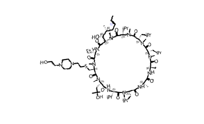 C/C=C/C[C@@H](C)[C@@H](O)[C@H]1C(=O)N[C@@H](CC)C(=O)N(C)[C@H](CSCCN2CCN(CCO)CC2)C(=O)N(C)[C@@H](CC(C)(C)O)C(=O)N[C@@H](C(C)C)C(=O)N(C)[C@@H](CC(C)C)C(=O)N[C@@H](C)C(=O)N[C@H](C)C(=O)N(C)[C@@H](CC(C)C)C(=O)N(C)[C@@H](CC(C)C)C(=O)N(C)[C@@H](C(C)C)C(=O)N1C